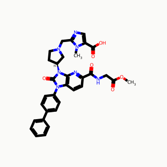 COC(=O)CNC(=O)c1ccc2c(n1)n([C@H]1CCN(Cc3ncc(C(=O)O)n3C)C1)c(=O)n2-c1ccc(-c2ccccc2)cc1